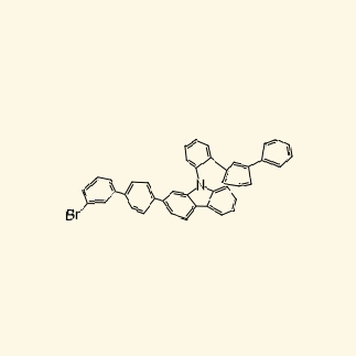 Brc1cccc(-c2ccc(-c3ccc4c5ccccc5n(-c5ccccc5-c5cccc(-c6ccccc6)c5)c4c3)cc2)c1